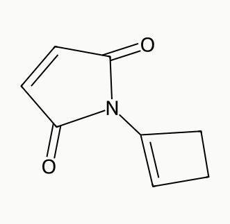 O=C1C=CC(=O)N1C1=CCC1